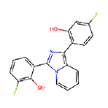 Oc1cc(F)ccc1-c1nc(-c2cccc(F)c2O)n2ccccc12